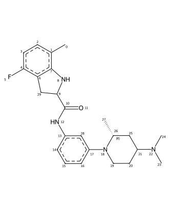 Cc1ccc(F)c2c1NC(C(=O)Nc1cccc(N3CCC(N(C)C)C[C@H]3C)c1)C2